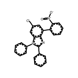 O=[N+]([O-])c1ccccc1-c1cc(Cl)cc2c1nc(-c1ccccc1)n2-c1ccccc1